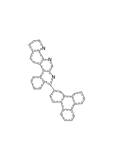 c1cnc2c(c1)ccc1c2ncc2nc(-c3ccc4c5ccccc5c5ccccc5c4c3)c3ccccc3c21